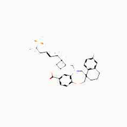 C[C@H](C/C=C/[C@@H](O)[C@@]1(C)CC[C@@H]1CN1CC2(CCCc3cc(Cl)ccc32)COc2ccc(C(=O)O)cc21)S(N)(=O)=O